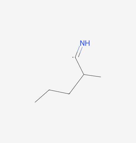 CCCC(C)[C]=N